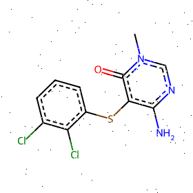 Cn1cnc(N)c(Sc2cccc(Cl)c2Cl)c1=O